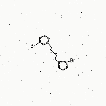 Brc1cccc(CSSCc2cccc(Br)c2)c1